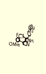 COc1ccc(F)cc1-c1ccnc2[nH]c(C3=CCN(C(=O)OC(C)(C)C)CC3)c(Cl)c12